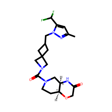 Cc1cc(C(F)F)n(CC2CC3(C2)CN(C(=O)N2CC[C@@H]4OCC(=O)N[C@@H]4C2)C3)n1